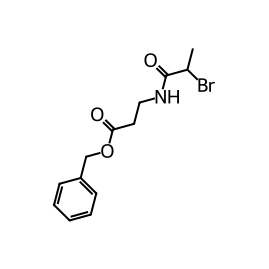 CC(Br)C(=O)NCCC(=O)OCc1ccccc1